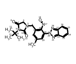 Cc1cc(CN2CC(=O)N(C(C)(C)C)C2=O)c(N=O)c(-n2nc3ccccc3n2)c1